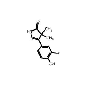 CC1(C)C(=O)NN=C1c1ccc(O)c(F)c1